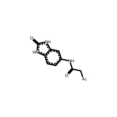 CC(=O)CC(=O)Nc1ccc2[nH]c(=O)[nH]c2c1